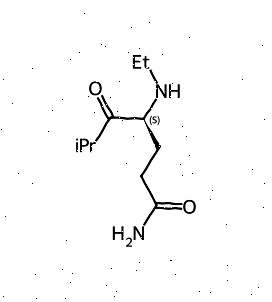 CCN[C@@H](CCC(N)=O)C(=O)C(C)C